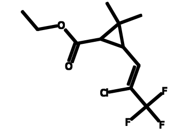 CCOC(=O)C1C(C=C(Cl)C(F)(F)F)C1(C)C